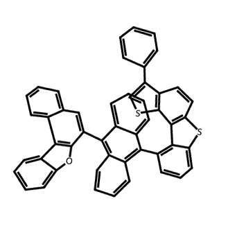 c1ccc(-c2csc3c2ccc2sc4cccc(-c5c6ccccc6c(-c6cc7ccccc7c7c6oc6ccccc67)c6ccccc56)c4c23)cc1